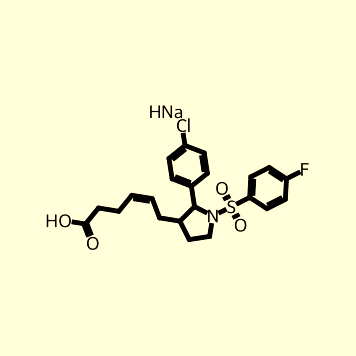 O=C(O)CC/C=C\CC1CCN(S(=O)(=O)c2ccc(F)cc2)C1c1ccc(Cl)cc1.[NaH]